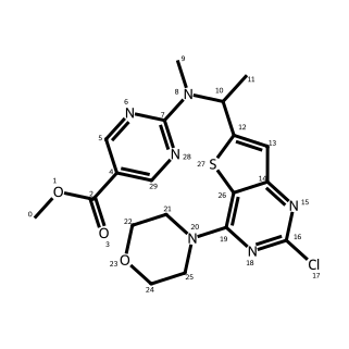 COC(=O)c1cnc(N(C)C(C)c2cc3nc(Cl)nc(N4CCOCC4)c3s2)nc1